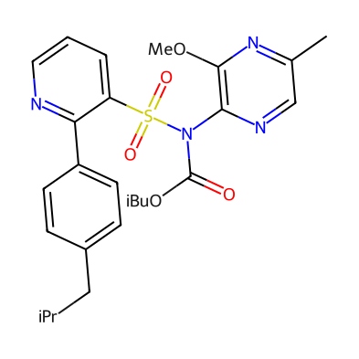 COc1nc(C)cnc1N(C(=O)OCC(C)C)S(=O)(=O)c1cccnc1-c1ccc(CC(C)C)cc1